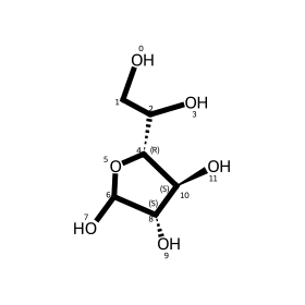 OCC(O)[C@H]1OC(O)[C@@H](O)[C@@H]1O